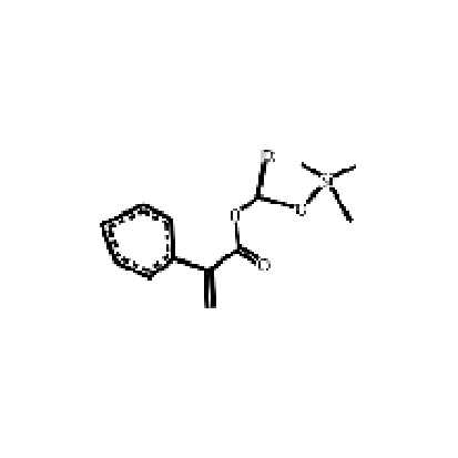 C=C(C(=O)OC(CC)O[Si](C)(C)C)c1ccccc1